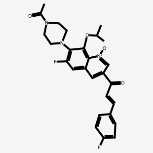 CC(=O)N1CCN(c2c(F)cc3cc(C(=O)C=Cc4ccc(F)cc4)c[n+]([O-])c3c2OC(C)C)CC1